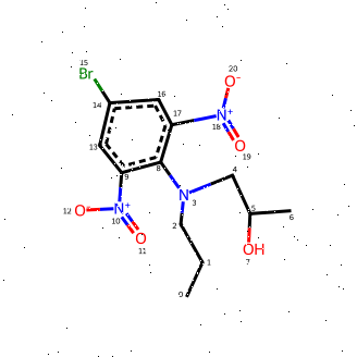 CCCN(CC(C)O)c1c([N+](=O)[O-])cc(Br)cc1[N+](=O)[O-]